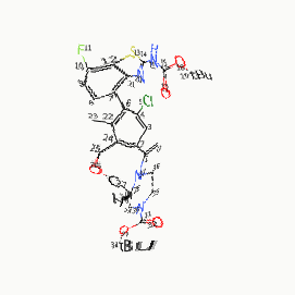 C=C1c2cc(Cl)c(-c3ccc(F)c4sc(NC(=O)OC(C)(C)C)nc34)c(C)c2COC[C@H]2CN(C(=O)OC(C)(C)C)CCN12